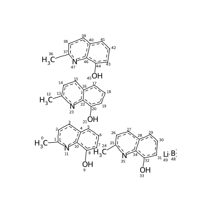 Cc1ccc2cccc(O)c2n1.Cc1ccc2cccc(O)c2n1.Cc1ccc2cccc(O)c2n1.Cc1ccc2cccc(O)c2n1.[B].[Li]